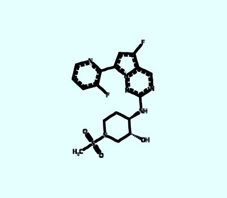 CS(=O)(=O)N1CC[C@@H](Nc2ncc3c(F)cc(-c4ncccc4F)n3n2)[C@H](O)C1